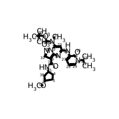 COC1CCC(NC(=O)c2cnn3c(N(C)C(=O)OC(C)(C)C)cc(Nc4cccn(C(C)C)c4=O)nc23)C1